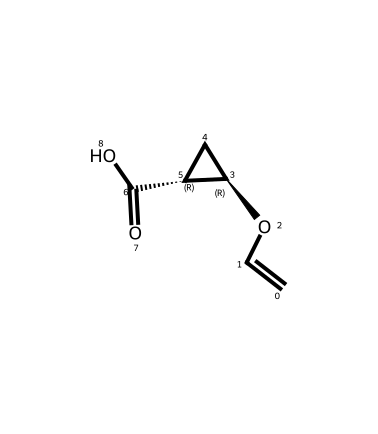 C=CO[C@@H]1C[C@H]1C(=O)O